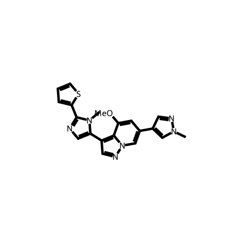 COc1cc(-c2cnn(C)c2)cn2ncc(-c3cnc(-c4cccs4)n3C)c12